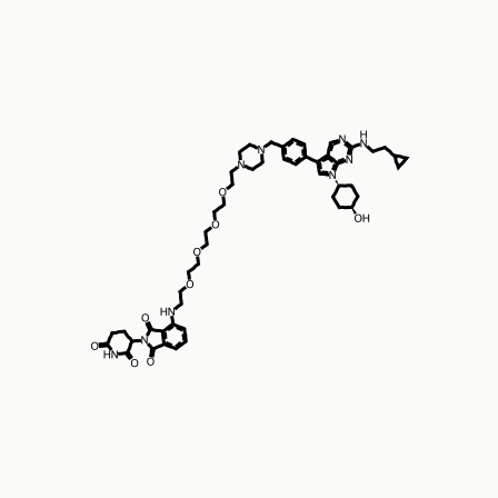 O=C1CCC(N2C(=O)c3cccc(NCCOCCOCCOCCOCCN4CCN(Cc5ccc(-c6cn([C@H]7CC[C@H](O)CC7)c7nc(NCCC8CC8)ncc67)cc5)CC4)c3C2=O)C(=O)N1